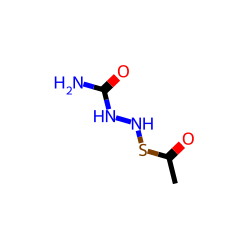 CC(=O)SNNC(N)=O